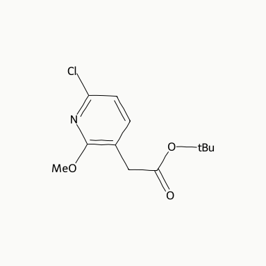 COc1nc(Cl)ccc1CC(=O)OC(C)(C)C